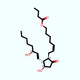 CCCCC[C@H](O)/C=C/[C@H]1[C@H](O)CC(=O)[C@@H]1C/C=C\CCCCOC(=O)CCC